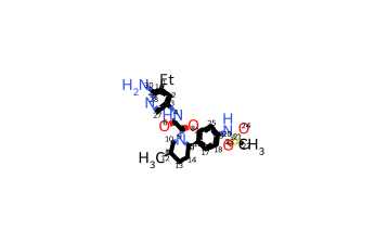 CCc1cc(NC(=O)C(=O)N2C[C@@H](C)CC[C@@H]2c2ccc(NS(C)(=O)=O)cc2)cnc1N